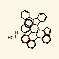 C1=CC[C]([Zr](=[C](C(c2ccccc2)c2ccccc2)C(c2ccccc2)c2ccccc2)[CH]2C3C=CC=CC3C3C4C=CC=CC4C4C=CC=CC4C32)=C1.Cl.Cl